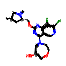 C[C@@H]1C[C@@H](COc2nc(N3CCOC[C@@H](O)C3)c3cnc(Cl)c(F)c3n2)N(C)C1